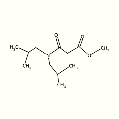 COC(=O)CC(=O)N(CC(C)C)CC(C)C